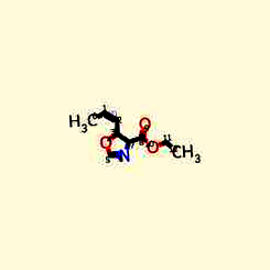 C/C=C\C1OC=NC1C(=O)OCC